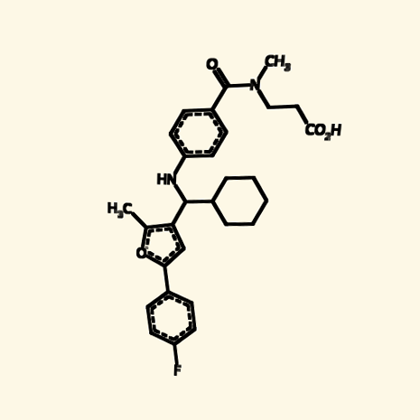 Cc1oc(-c2ccc(F)cc2)cc1C(Nc1ccc(C(=O)N(C)CCC(=O)O)cc1)C1CCCCC1